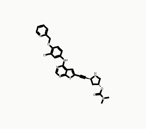 CN(C)C(=O)O[C@H]1CN[C@H](C#Cc2cc3c(Nc4ccc(OCc5ccccn5)c(Cl)c4)ncnc3s2)C1